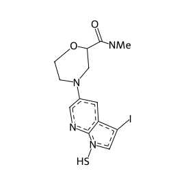 CNC(=O)C1CN(c2cnc3c(c2)c(I)cn3S)CCO1